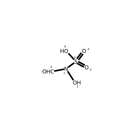 O=[C]N(O)S(=O)(=O)O